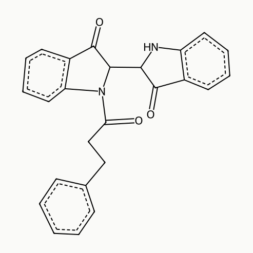 O=C1c2ccccc2NC1C1C(=O)c2ccccc2N1C(=O)CCc1ccccc1